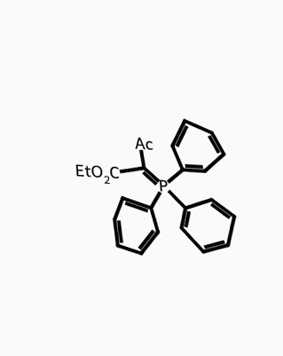 CCOC(=O)C(C(C)=O)=P(c1ccccc1)(c1ccccc1)c1ccccc1